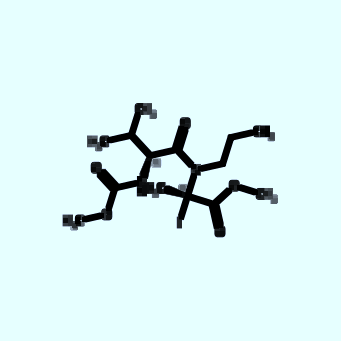 CCCN(C(=O)[C@@H](NC(=O)OC)C(C)C)[C@@](C)(I)C(=O)OC